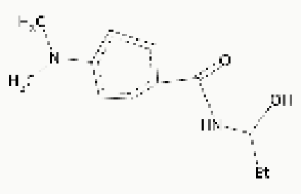 CCC(O)NC(=O)c1ccc(N(C)C)cc1